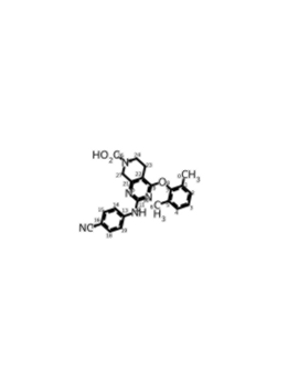 Cc1cccc(C)c1Oc1nc(Nc2ccc(C#N)cc2)nc2c1CCN(C(=O)O)C2